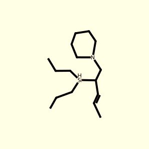 CC=CC(CN1CCCCC1)[SiH](CCC)CCC